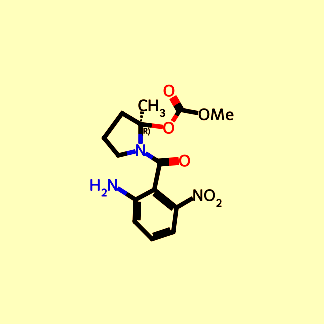 COC(=O)O[C@]1(C)CCCN1C(=O)c1c(N)cccc1[N+](=O)[O-]